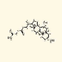 C[C@H](CCC(=O)NCC(=O)O)C1CCC2C3C(CC[C@@]21C)[C@@]1(C)CC[C@@H](O)C[C@H]1C[C@H]3O